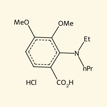 CCCN(CC)c1c(C(=O)O)ccc(OC)c1OC.Cl